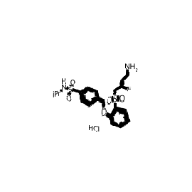 CC(C)NS(=O)(=O)c1ccc(COc2ccccc2S(=O)(=O)C/C(F)=C/CN)cc1.Cl